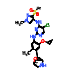 Cc1cc(Nc2ncc(Cl)c(Nc3cn(C)nc3S(=O)(=O)C(C)C)n2)c(OC2CC2)cc1C1CC2COC(CN2)C1